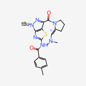 Cc1ccc(C(=O)Nc2nc3c(s2)c(C(=O)N2CCC/C2=C\N(C)C)nn3C(C)(C)C)cc1